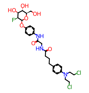 O=C(CCCc1ccc(N(CCCl)CCCl)cc1)NCC(=O)Nc1ccc(O[C@@H]2O[C@H](CO)[C@@H](O)[C@H](O)[C@@H]2F)cc1